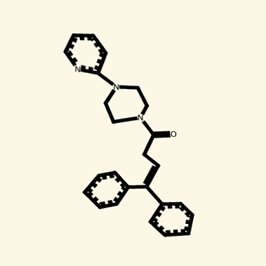 O=C(CC=C(c1ccccc1)c1ccccc1)N1CCN(c2ccccn2)CC1